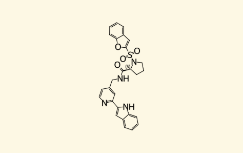 O=C(NCc1ccnc(-c2cc3ccccc3[nH]2)c1)[C@@H]1CCCN1S(=O)(=O)c1cc2ccccc2o1